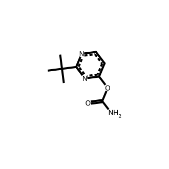 CC(C)(C)c1nccc(OC(N)=O)n1